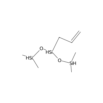 C=CC[SiH](O[SiH](C)C)O[SiH](C)C